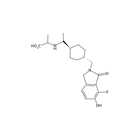 CC(NC(C)[C@H]1CC[C@H](CN2Cc3ccc(O)c(F)c3C2=O)CC1)C(=O)O